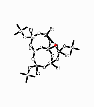 CC[Si]1(O[Si](C)(C)C)O[Si]2(CC)O[Si](CC)(O[Si](C)(C)C)O[Si]3(CC)O[Si](CC)(O[Si](C)(C)C)O[Si](CC)(O1)O[Si](CC)(O2)O3